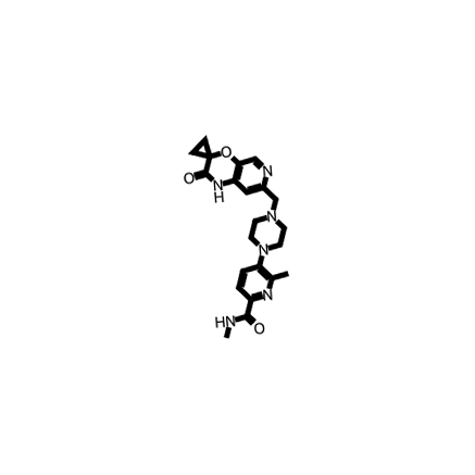 CNC(=O)c1ccc(N2CCN(Cc3cc4c(cn3)OC3(CC3)C(=O)N4)CC2)c(C)n1